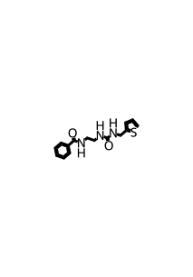 O=C(NCCNC(=O)c1ccccc1)NCc1cccs1